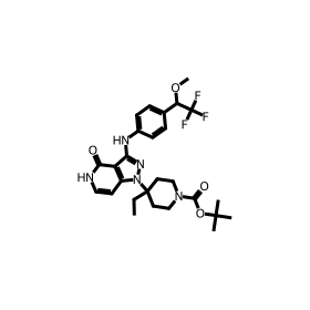 CCC1(n2nc(Nc3ccc(C(OC)C(F)(F)F)cc3)c3c(=O)[nH]ccc32)CCN(C(=O)OC(C)(C)C)CC1